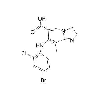 CC1=C(Nc2ccc(Br)cc2Cl)C(C(=O)O)=CN2CCN=C12